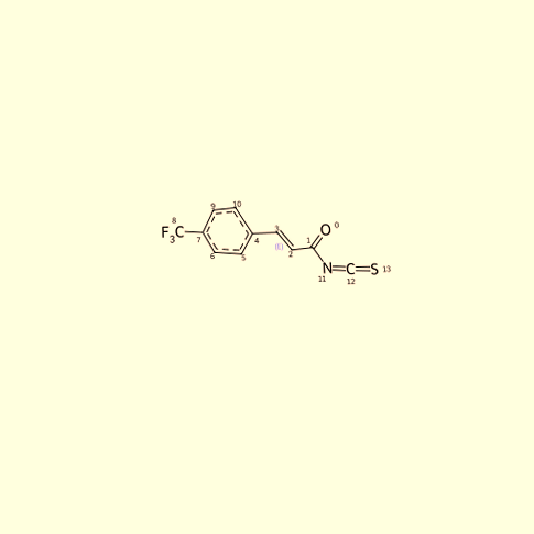 O=C(/C=C/c1ccc(C(F)(F)F)cc1)N=C=S